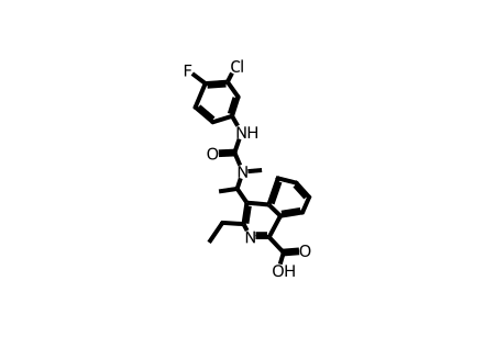 CCc1nc(C(=O)O)c2ccccc2c1C(C)N(C)C(=O)Nc1ccc(F)c(Cl)c1